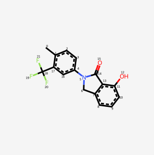 Cc1ccc(N2Cc3cccc(O)c3C2=O)cc1C(F)(F)F